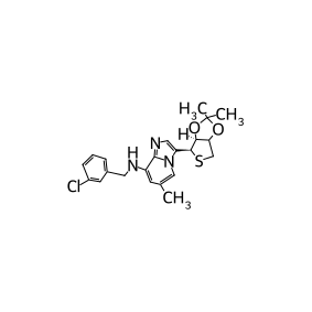 Cc1cc(NCc2cccc(Cl)c2)c2ncc([C@@H]3SCC4OC(C)(C)O[C@@H]43)n2c1